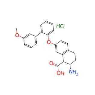 COc1cccc(-c2ccccc2Oc2ccc3c(c2)C(C(=O)O)C(N)CC3)c1.Cl